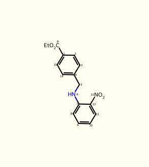 CCOC(=O)c1ccc(CNc2ccccc2[N+](=O)[O-])cc1